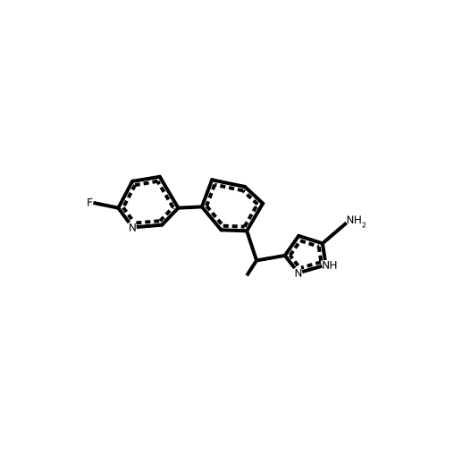 CC(c1cccc(-c2ccc(F)nc2)c1)c1cc(N)[nH]n1